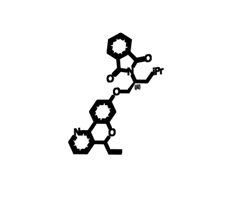 C=CC1Oc2cc(OC[C@H](CC(C)C)N3C(=O)c4ccccc4C3=O)ccc2-c2ncccc21